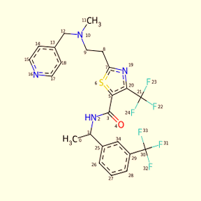 CC(NC(=O)c1sc(CCN(C)Cc2ccncc2)nc1C(F)(F)F)c1cccc(C(F)(F)F)c1